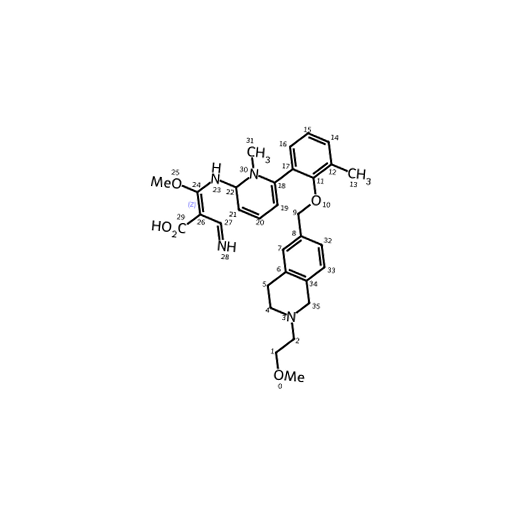 COCCN1CCc2cc(COc3c(C)cccc3C3=CC=CC(N/C(OC)=C(\C=N)C(=O)O)N3C)ccc2C1